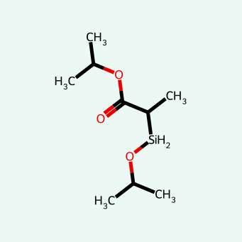 CC(C)O[SiH2]C(C)C(=O)OC(C)C